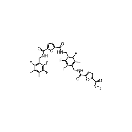 Cc1c(F)c(F)c(CNC(=O)c2ccc(C(=O)NCc3c(F)c(F)c(CNC(=O)c4ccc(C(N)=O)o4)c(F)c3F)o2)c(F)c1F